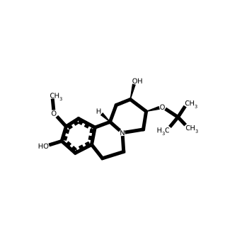 COc1cc2c(cc1O)CCN1C[C@H](OC(C)(C)C)[C@H](O)C[C@@H]21